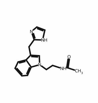 CC(=O)NCCn1cc(Cc2ncc[nH]2)c2ccccc21